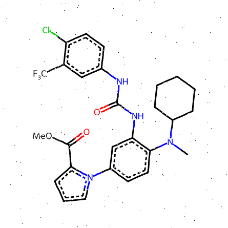 COC(=O)c1cccn1-c1ccc(N(C)C2CCCCC2)c(NC(=O)Nc2ccc(Cl)c(C(F)(F)F)c2)c1